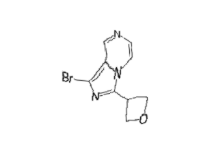 Brc1nc(C2COC2)n2ccncc12